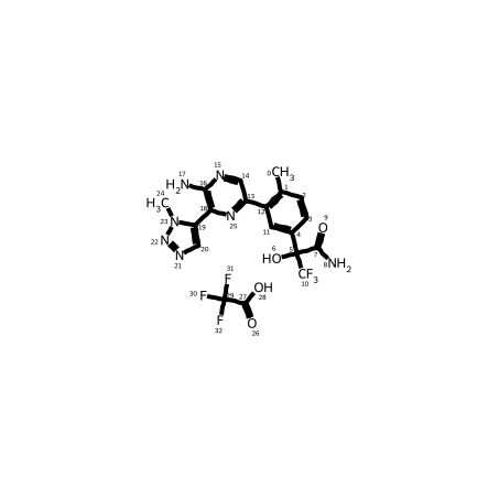 Cc1ccc(C(O)(C(N)=O)C(F)(F)F)cc1-c1cnc(N)c(-c2cnnn2C)n1.O=C(O)C(F)(F)F